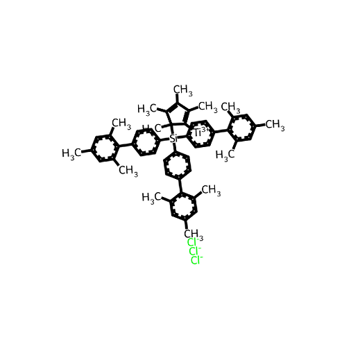 CC1=C(C)C(C)([Si](c2ccc(-c3c(C)cc(C)cc3C)cc2)(c2ccc(-c3c(C)cc(C)cc3C)cc2)c2ccc(-c3c(C)cc(C)cc3C)cc2)[C]([Ti+3])=C1C.[Cl-].[Cl-].[Cl-]